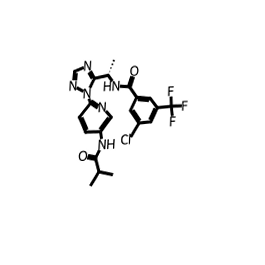 CC(C)C(=O)Nc1ccc(-n2ncnc2[C@H](C)NC(=O)c2cc(Cl)cc(C(F)(F)F)c2)nc1